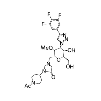 CO[C@@H]1[C@@H](n2cc(-c3cc(F)c(F)c(F)c3)nn2)[C@@H](O)[C@@H](CO)O[C@@H]1CN1CC(=O)N(C2CCN(C(C)=O)CC2)C1